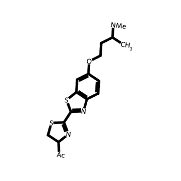 CNC(C)CCOc1ccc2nc(C3=NC(C(C)=O)CS3)sc2c1